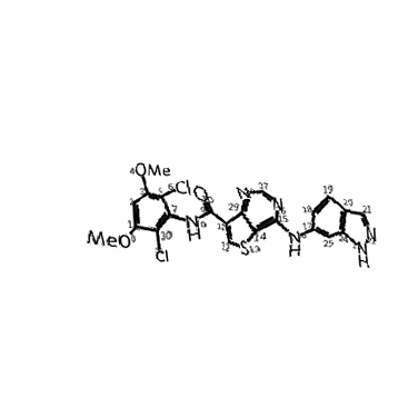 COc1cc(OC)c(Cl)c(NC(=O)c2csc3c(Nc4ccc5cn[nH]c5c4)ncnc23)c1Cl